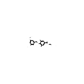 CC(C)Nc1cc(COc2c(Cl)cc(C(=O)NCC(=O)O)cc2Cl)cc(C(F)(F)F)c1